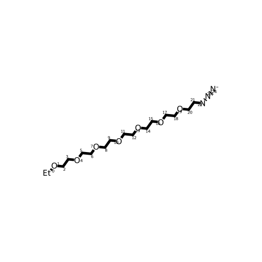 CCOCCOCCOCCOCCOCCOCCOCCN=[N+]=[N-]